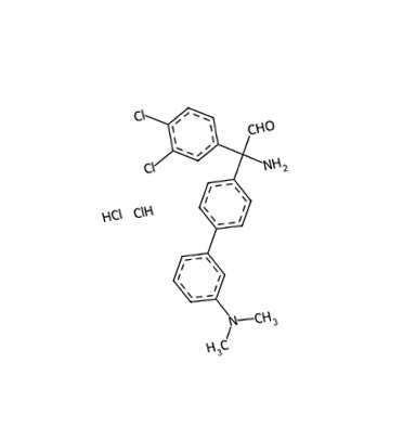 CN(C)c1cccc(-c2ccc(C(N)(C=O)c3ccc(Cl)c(Cl)c3)cc2)c1.Cl.Cl